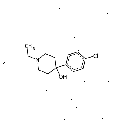 CCN1CCC(O)(c2ccc(Cl)cc2)CC1